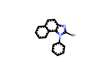 CC(C)c1nc2ccc3ccccc3c2n1-c1ccccc1